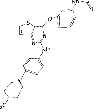 C=CC(=O)Nc1cccc(Oc2nc(Nc3ccc(N4CCC(C(=O)O)CC4)cc3)nc3ccsc23)c1